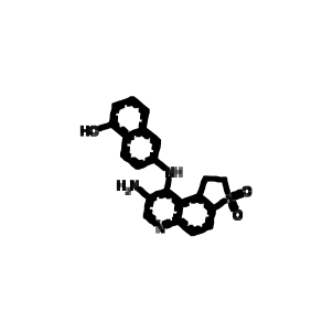 Nc1cnc2ccc3c(c2c1Nc1ccc2c(O)cccc2c1)CCS3(=O)=O